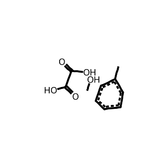 CO.Cc1ccccc1.O=C(O)C(=O)O